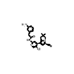 CC1(C)Cc2c(-c3cc(NC(=O)Cc4cccc(N)c4)ncc3Cl)cc(C#N)n2C1